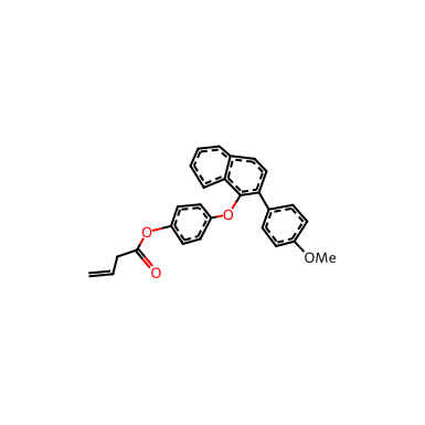 C=CCC(=O)Oc1ccc(Oc2c(-c3ccc(OC)cc3)ccc3ccccc23)cc1